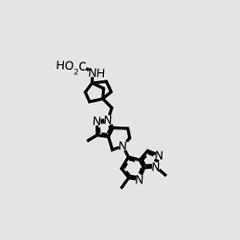 Cc1cc(N2CCc3c(c(C)nn3CC34CCC(NC(=O)O)(CC3)C4)C2)c2cnn(C)c2n1